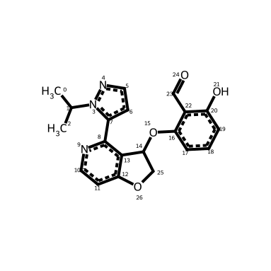 CC(C)n1nccc1-c1nccc2c1C(Oc1cccc(O)c1C=O)CO2